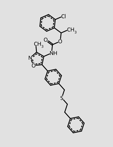 Cc1noc(-c2ccc(CSCCc3ccccc3)cc2)c1NC(=O)OC(C)c1ccccc1Cl